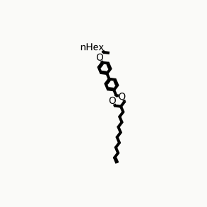 C=CCCCCCCCCCC1COC(c2ccc(-c3ccc(OC(C)CCCCCC)cc3)cc2)OC1